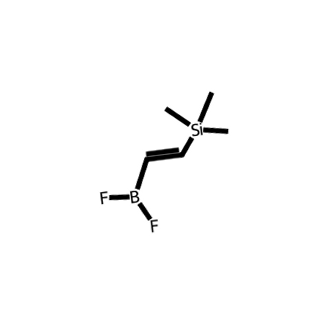 C[Si](C)(C)C=CB(F)F